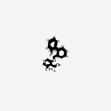 Cc1cncc(OCC2CCCCC2c2ccccc2F)c1C=O